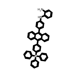 Nc1ccccc1Nc1ccc(-c2c3ccccc3c(-c3ccc([Si](c4ccccc4)(c4ccccc4)c4ccccc4)cc3)c3ccccc23)cc1